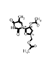 CC(=O)OC[C@@H]1C[C@@H](OC(C)=O)[C@H](n2cc(C)c(=O)[nH]c2=O)O1